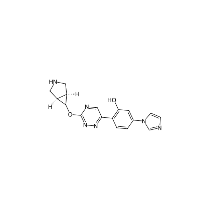 Oc1cc(-n2ccnc2)ccc1-c1cnc(OC2[C@H]3CNC[C@@H]23)nn1